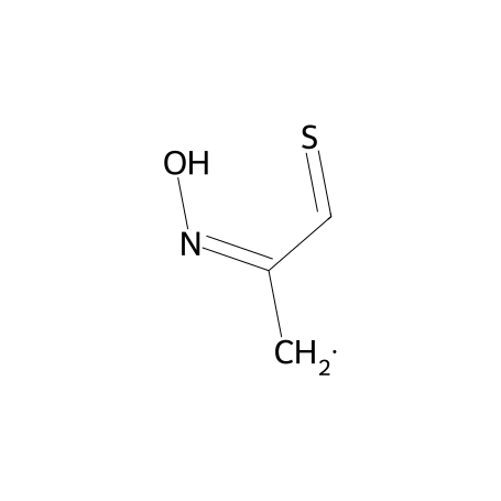 [CH2]C(C=S)=NO